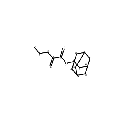 C=C(CCC)C(=O)OC12CC3CC(CC(C3)C1)C2